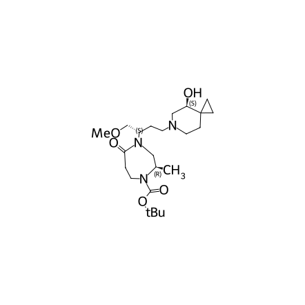 COC[C@H](CCN1CCC2(CC2)[C@H](O)C1)N1C[C@@H](C)N(C(=O)OC(C)(C)C)CCC1=O